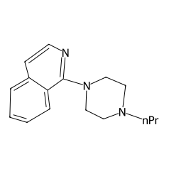 [CH2]CCN1CCN(c2nccc3ccccc23)CC1